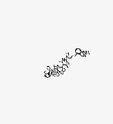 COC(=O)C(CNC(=O)c1cccs1)NC(=O)c1c(C)nc(NCCCc2cccc3[nH]ncc23)nc1C